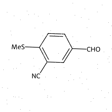 CSc1ccc(C=O)cc1C#N